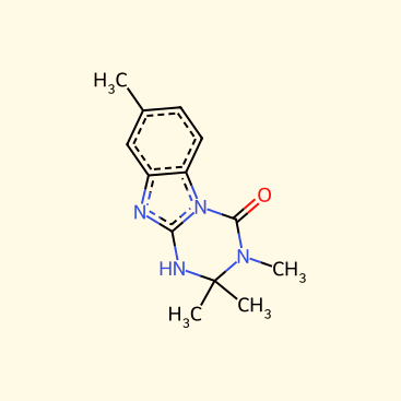 Cc1ccc2c(c1)nc1n2C(=O)N(C)C(C)(C)N1